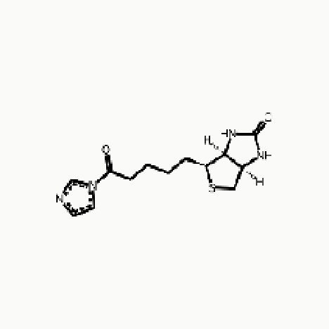 O=C1N[C@H]2[C@H](CS[C@H]2CCCCC(=O)n2ccnc2)N1